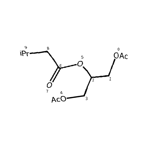 CC(=O)OCC(COC(C)=O)OC(=O)CC(C)C